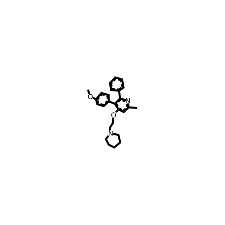 COc1ccc(-c2c(OCCN3CCCCC3)cc(C)nc2-c2ccccc2)cc1